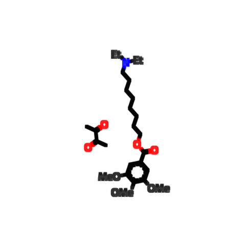 CC(=O)C(C)=O.CCN(CC)CCCCCCCCOC(=O)c1cc(OC)c(OC)c(OC)c1